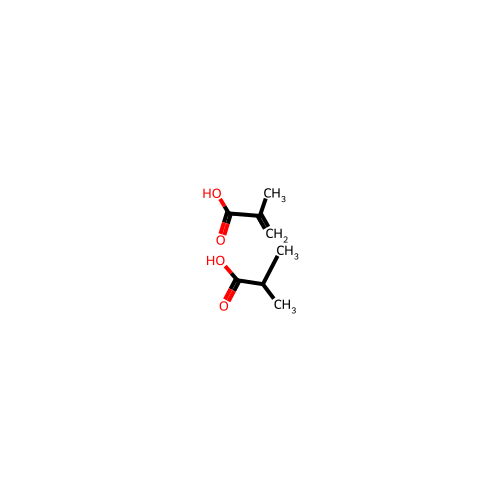 C=C(C)C(=O)O.CC(C)C(=O)O